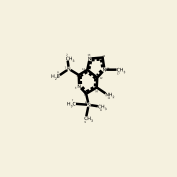 BN(C)c1nc([Si](C)(C)C)c(N)c2c1ncn2C